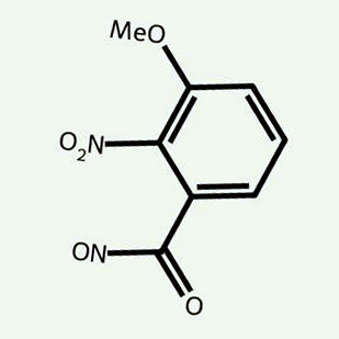 COc1cccc(C(=O)N=O)c1[N+](=O)[O-]